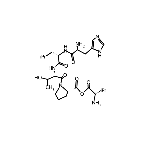 CC(C)C[C@H](NC(=O)[C@@H](N)Cc1cnc[nH]1)C(=O)N[C@H](C(=O)N1CCC[C@H]1C(=O)OC(=O)[C@@H](N)C(C)C)[C@@H](C)O